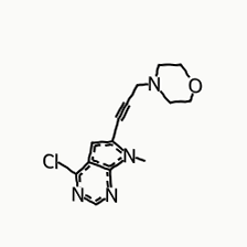 Cn1c(C#CCN2CCOCC2)cc2c(Cl)ncnc21